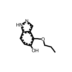 CCCOc1c(O)ccc2[nH]ncc12